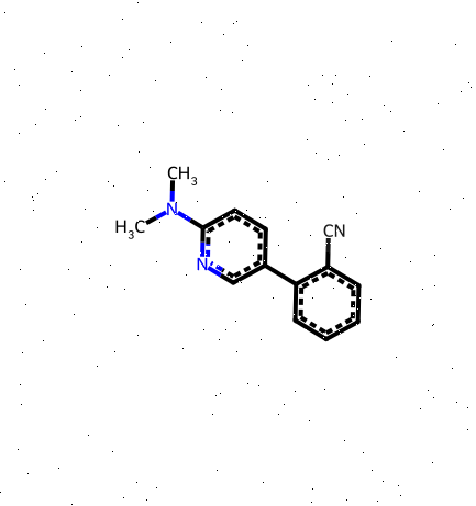 CN(C)c1ccc(-c2ccccc2C#N)cn1